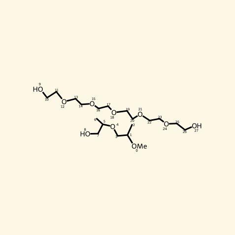 COC(C)COC(C)CO.OCCOCCOCCOCCOCCOCCO